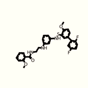 COc1ccc(-c2cc(F)ccc2F)cc1SNc1cccc(NCCNC(=O)c2ccccc2OC)c1